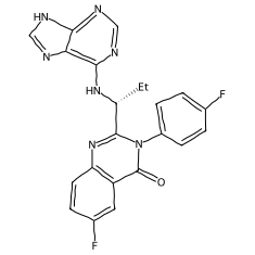 CC[C@@H](Nc1ncnc2[nH]cnc12)c1nc2ccc(F)cc2c(=O)n1-c1ccc(F)cc1